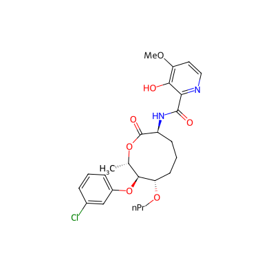 CCCO[C@H]1CCC[C@H](NC(=O)c2nccc(OC)c2O)C(=O)O[C@@H](C)[C@@H]1Oc1cccc(Cl)c1